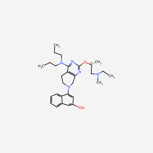 CCCN(CCC)c1nc(O[C@H](C)CN(C)CC)nc2c1CCN(c1cc(O)cc3ccccc13)C2